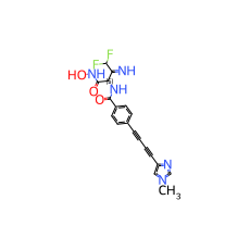 Cn1cnc(C#CC#Cc2ccc(C(=O)N[C@@H](C(=N)C(F)F)C(=O)NO)cc2)c1